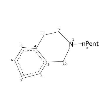 CCCCCN1CCc2ccccc2C1